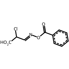 O=C(O/N=C/C(Cl)C(=O)O)c1ccccc1